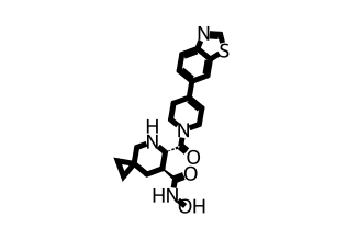 O=C(NO)[C@H]1CC2(CC2)CN[C@@H]1C(=O)N1CC=C(c2ccc3ncsc3c2)CC1